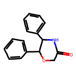 O=C1COC(c2ccccc2)C(c2ccccc2)N1